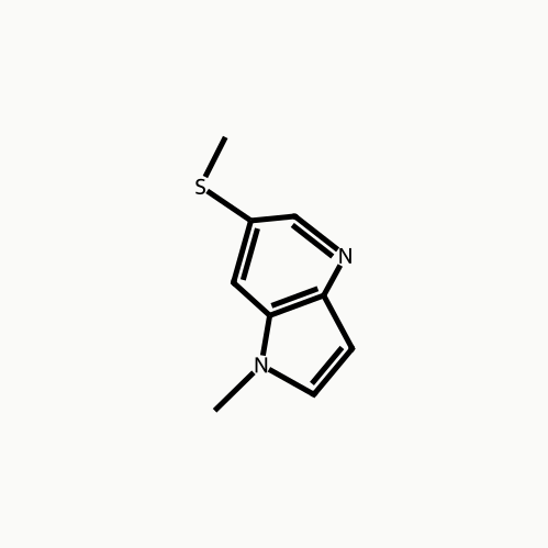 CSc1cnc2ccn(C)c2c1